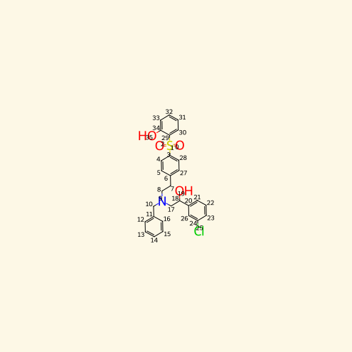 O=S(=O)(c1ccc(CCN(Cc2ccccc2)CC(O)c2cccc(Cl)c2)cc1)c1ccccc1O